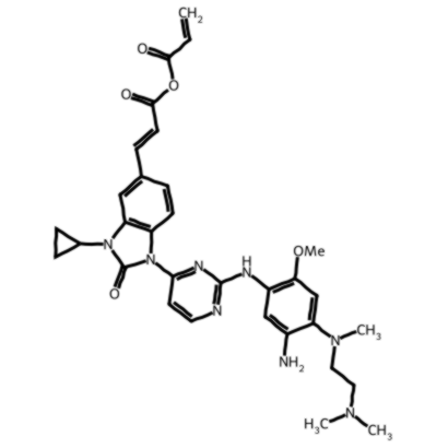 C=CC(=O)OC(=O)/C=C/c1ccc2c(c1)n(C1CC1)c(=O)n2-c1ccnc(Nc2cc(N)c(N(C)CCN(C)C)cc2OC)n1